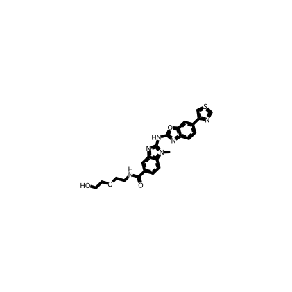 Cn1c(Nc2nc3ccc(-c4cscn4)cc3o2)nc2cc(C(=O)NCCOCCO)ccc21